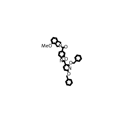 COc1cccc2c1CN(C(=O)c1ccc3nc(-c4ccc(OCc5ccccc5)nc4OCc4ccccc4)oc3c1)C2